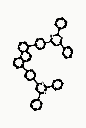 C1=C(c2ccc(-c3cccc4c3ccc3c(-c5ccc(-c6cc(-c7ccccc7)nc(-c7ccccc7)n6)cc5)cccc34)cc2)NC(c2ccccc2)N=C1c1ccccc1